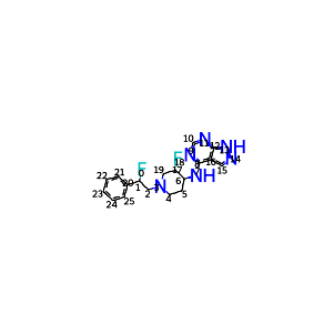 FC(CN1CC[C@H](Nc2ncnc3[nH]ncc23)[C@@H](F)C1)c1ccccc1